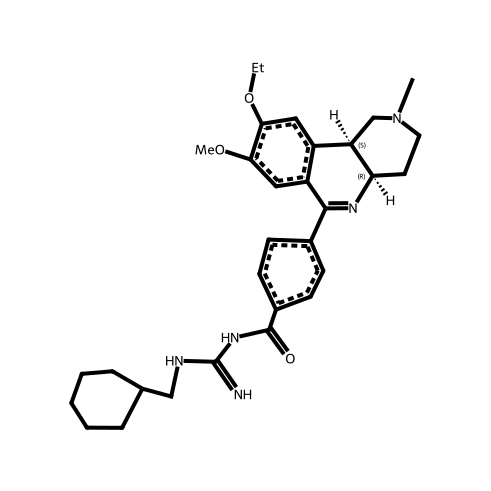 CCOc1cc2c(cc1OC)C(c1ccc(C(=O)NC(=N)NCC3CCCCC3)cc1)=N[C@@H]1CCN(C)C[C@H]21